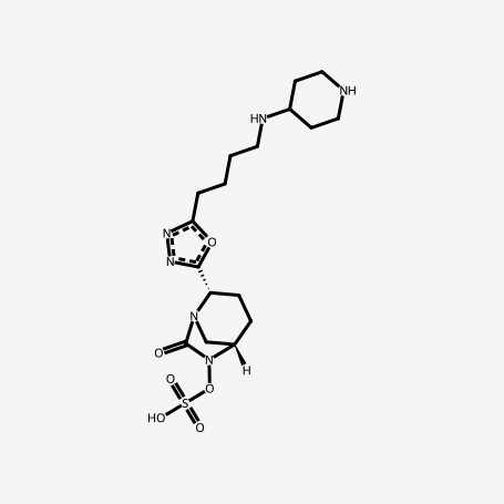 O=C1N2C[C@H](CC[C@H]2c2nnc(CCCCNC3CCNCC3)o2)N1OS(=O)(=O)O